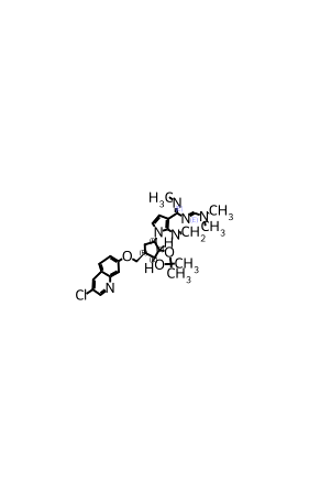 C=Nc1c(C(/N=C/N(C)C)=N\C)ccn1[C@@H]1C[C@H](COc2ccc3cc(Cl)cnc3c2)[C@H]2OC(C)(C)O[C@H]21